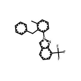 Cc1cccc(-n2cc3cccc(C(F)(F)F)c3n2)c1Cc1ccccc1